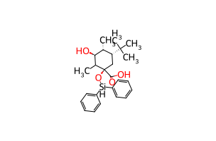 CC1[C@@H](O)[C@H](C)[C@H](C(C)(C)C)C[C@]1(O[SiH](c1ccccc1)c1ccccc1)C(=O)O